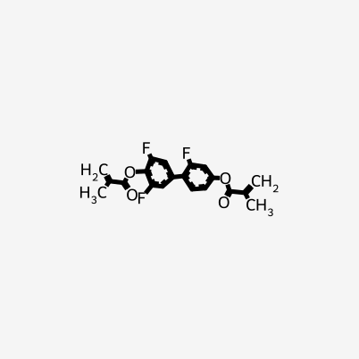 C=C(C)C(=O)Oc1ccc(-c2cc(F)c(OC(=O)C(=C)C)c(F)c2)c(F)c1